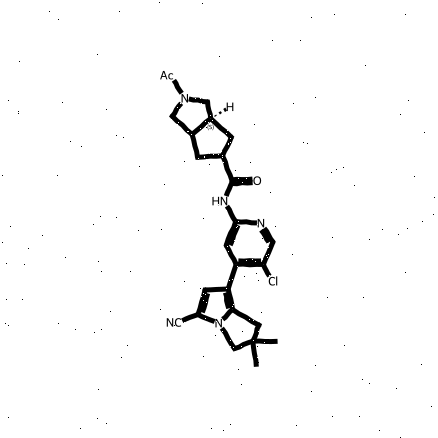 CC(=O)N1CC2CC(C(=O)Nc3cc(-c4cc(C#N)n5c4CC(C)(C)C5)c(Cl)cn3)C[C@@H]2C1